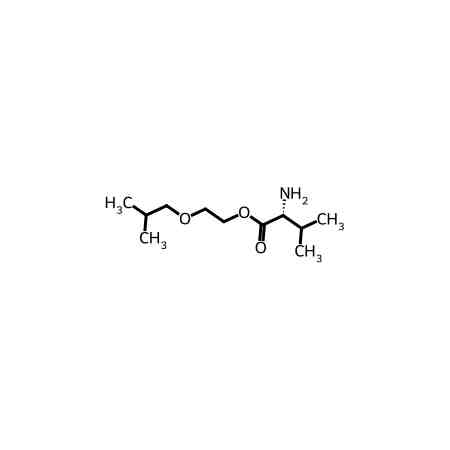 CC(C)COCCOC(=O)[C@H](N)C(C)C